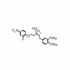 COc1ccc(CCN(C)CCOc2ccc([N+](=O)[O-])cc2F)cc1OC.Cl